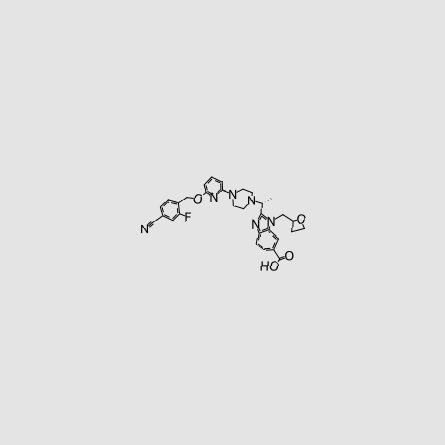 C[C@H](c1nc2ccc(C(=O)O)cc2n1CC1CCO1)N1CCN(c2cccc(OCc3ccc(C#N)cc3F)n2)CC1